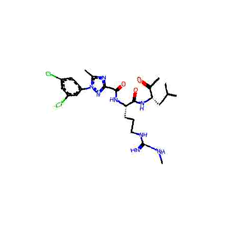 CNC(=N)NCCC[C@H](NC(=O)c1nc(C)n(-c2cc(Cl)cc(Cl)c2)n1)C(=O)N[C@@H](CC(C)C)C(C)=O